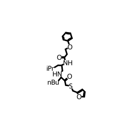 CCCCC(NCC(CC(C)C)NC(=O)CCOc1ccccc1)C(=O)CSCc1ccco1